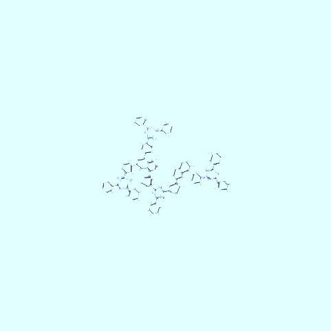 c1ccc(-c2nc(-c3ccccc3)nc(-c3ccc(-c4cc(-c5cccc(-c6nc(-c7ccccc7)nc(-c7ccccc7)n6)c5)cc5c(-c6cccc(-c7nc(-c8ccccc8)nc(-c8cccc(-c9ccc%10cccc(-c%11cccc(-c%12nc(-c%13ccccc%13)nc(-c%13ccccc%13)n%12)c%11)c%10c9)c8)n7)c6)cccc45)cc3)n2)cc1